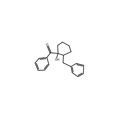 O=C(c1ccccc1)C1(O)CCCCC1Cc1ccccc1